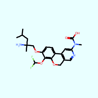 CC(C)CC(C)(N)COc1ccc2c(c1OC(F)F)OCc1cnc(N(C)C(=O)O)cc1-2